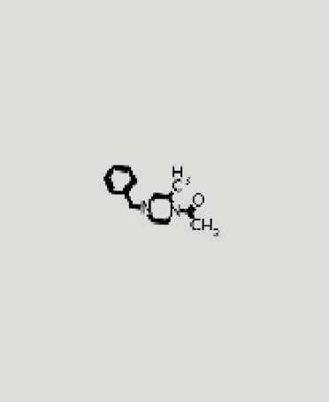 CC(=O)N1CCN(Cc2ccccc2)CC1C